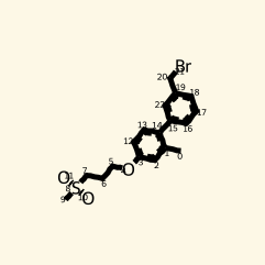 Cc1cc(OCCCS(C)(=O)=O)ccc1-c1cccc(CBr)c1